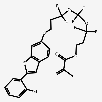 C=C(C)C(=O)OCCC(F)(F)OC(F)(F)OC(F)(F)CCOc1ccc2cc(-c3ccccc3CC)sc2c1